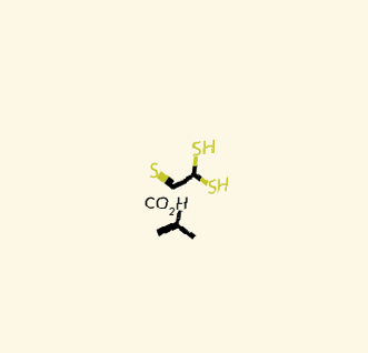 C=C(C)C(=O)O.S=CC(S)S